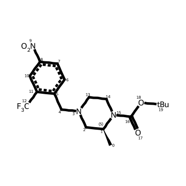 C[C@H]1CN(Cc2ccc([N+](=O)[O-])cc2C(F)(F)F)CCN1C(=O)OC(C)(C)C